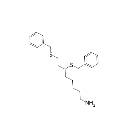 NCCCCCC(CCSCc1ccccc1)SCc1ccccc1